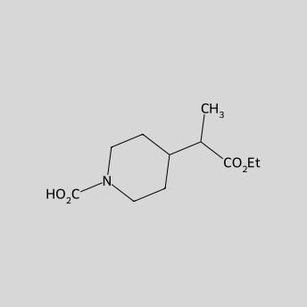 CCOC(=O)C(C)C1CCN(C(=O)O)CC1